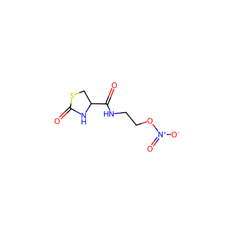 O=C1NC(C(=O)NCCO[N+](=O)[O-])CS1